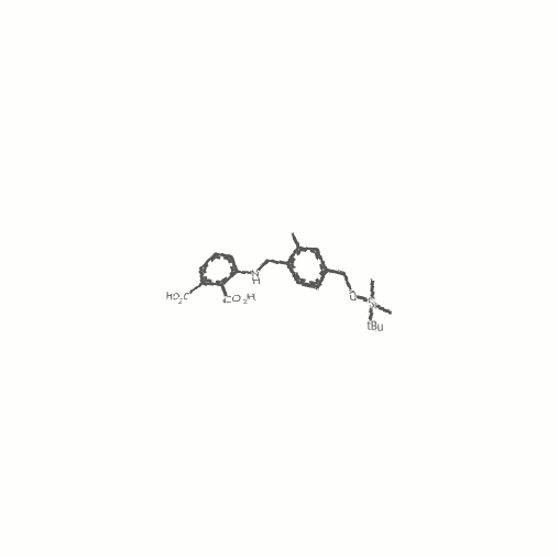 Cc1cc(CO[Si](C)(C)C(C)(C)C)ccc1CNc1cccc(C(=O)O)c1C(=O)O